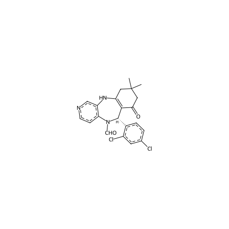 CC1(C)CC(=O)C2=C(C1)Nc1cnccc1N(C=O)[C@H]2c1ccc(Cl)cc1Cl